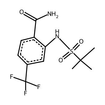 CC(C)(C)S(=O)(=O)Nc1cc(C(F)(F)F)ccc1C(N)=O